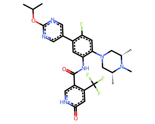 CC(C)Oc1ncc(-c2cc(NC(=O)c3c[nH]c(=O)cc3C(F)(F)F)c(N3C[C@@H](C)N(C)[C@@H](C)C3)cc2F)cn1